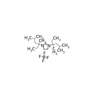 CCC(C)(CC(C)C)n1cc[n+](C(C)(CC)CC(C)C)c1.F[B-](F)(F)F